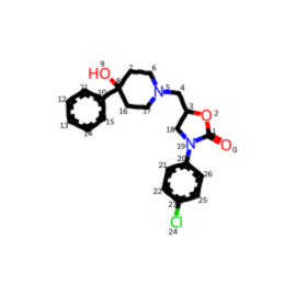 O=C1OC(CN2CCC(O)(c3ccccc3)CC2)CN1c1ccc(Cl)cc1